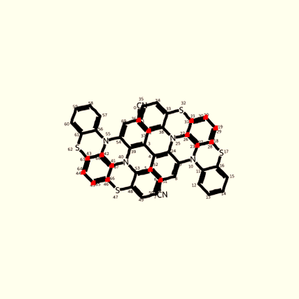 N#Cc1cc(-c2cc(C#N)cc(N3c4ccccc4Sc4ccccc43)c2N2c3ccccc3Sc3ccccc32)c(N2c3ccccc3Sc3ccccc32)c(N2c3ccccc3Sc3ccccc32)c1